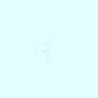 C=CCOc1cc(OCC=C)c(C(=O)Nc2ccc(CN3CCOCC3)cc2)cc1OC(CO)COC(=O)CCC